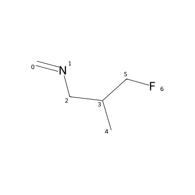 C=NCC(C)CF